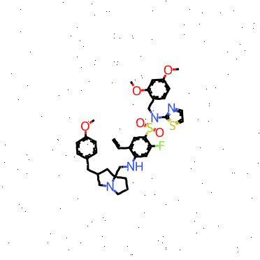 C=Cc1cc(S(=O)(=O)N(Cc2ccc(OC)cc2OC)c2nccs2)c(F)cc1NCC12CCCN1CC(Cc1ccc(OC)cc1)C2